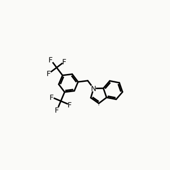 FC(F)(F)c1cc(Cn2c[c]c3ccccc32)cc(C(F)(F)F)c1